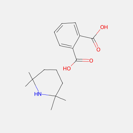 CC1(C)CCCC(C)(C)N1.O=C(O)c1ccccc1C(=O)O